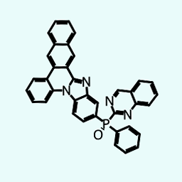 O=P(c1ccccc1)(c1ccc2c(c1)nc1c3cc4ccccc4cc3c3ccccc3n21)c1ncc2ccccc2n1